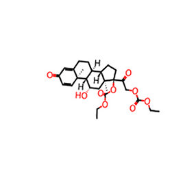 CCOC(=O)OCC(=O)[C@@]1(OC(=O)OCC)CC[C@H]2[C@@H]3CCC4=CC(=O)C=C[C@]4(C)[C@H]3[C@@H](O)C[C@@]21C